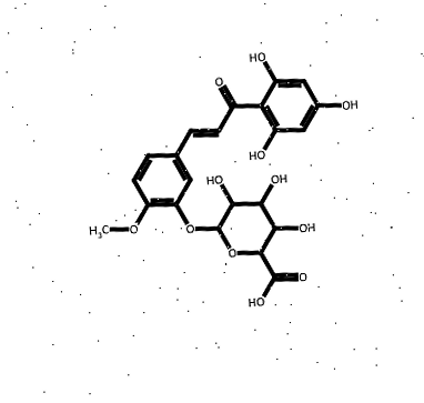 COc1ccc(C=CC(=O)c2c(O)cc(O)cc2O)cc1OC1OC(C(=O)O)C(O)C(O)C1O